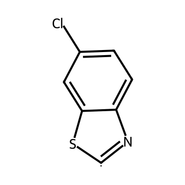 Clc1ccc2n[c]sc2c1